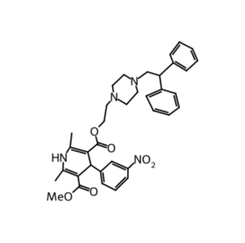 COC(=O)C1=C(C)NC(C)=C(C(=O)OCCN2CCN(CC(c3ccccc3)c3ccccc3)CC2)C1c1cccc([N+](=O)[O-])c1